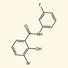 O=C(Nc1cccc(F)c1)c1cccc(Br)c1O